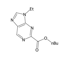 CCCCOC(=O)c1ncc2ncn(CC)c2n1